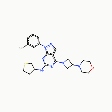 FC(F)(F)c1cccc(-n2ncc3c(N4CC(N5CCOCC5)C4)nc(NC4CCSC4)nc32)c1